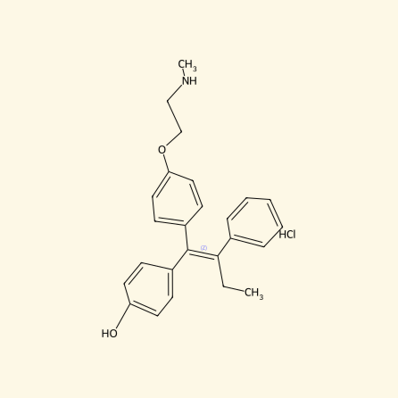 CC/C(=C(\c1ccc(O)cc1)c1ccc(OCCNC)cc1)c1ccccc1.Cl